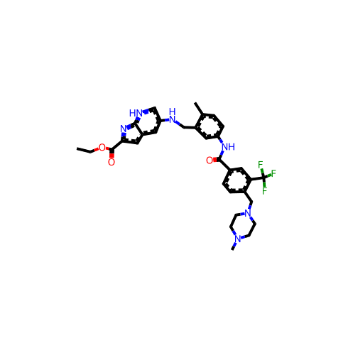 CCOC(=O)c1cc2cc(NCc3cc(NC(=O)c4ccc(CN5CCN(C)CC5)c(C(F)(F)F)c4)ccc3C)c[nH]c-2n1